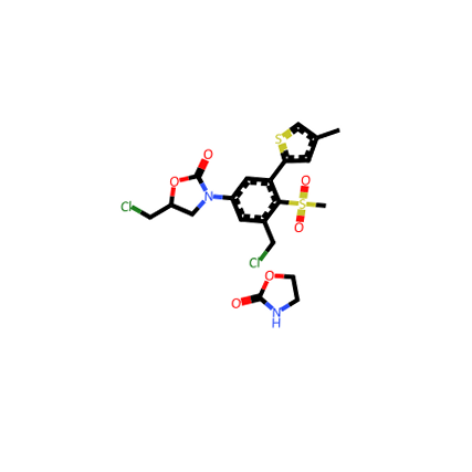 Cc1csc(-c2cc(N3CC(CCl)OC3=O)cc(CCl)c2S(C)(=O)=O)c1.O=C1NCCO1